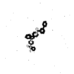 O=C(c1cccc(-c2ccccc2)c1)N1CCC(CCN2CCC(n3c(=O)[nH]c4ccccc43)CC2)(c2ccccc2)CC1